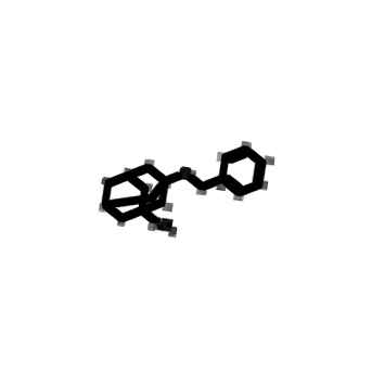 NC12CC3CC(C1)CC(OCc1ccccc1)(C3)C2